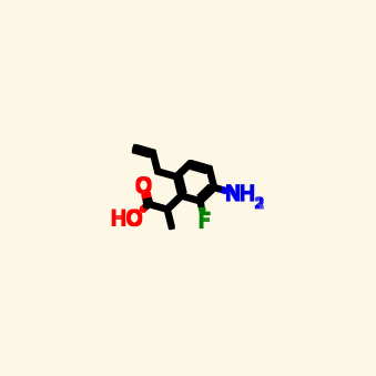 C=CCc1ccc(N)c(F)c1C(C)C(=O)O